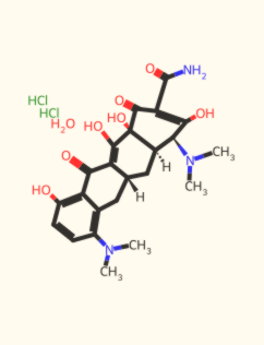 CN(C)c1ccc(O)c2c1C[C@H]1C[C@@H]3[C@H](N(C)C)C(O)=C(C(N)=O)C(=O)[C@@]3(O)C(O)=C1C2=O.Cl.Cl.O